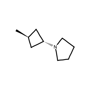 C[C@H]1C[C@H](N2CCCC2)C1